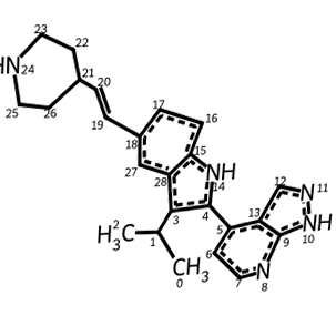 CC(C)c1c(-c2ccnc3[nH]ncc23)[nH]c2ccc(C=CC3CCNCC3)cc12